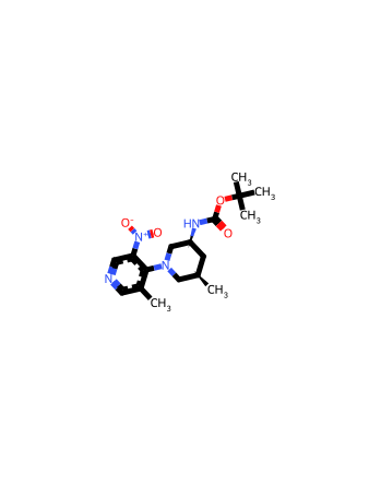 Cc1cncc([N+](=O)[O-])c1N1C[C@H](C)C[C@H](NC(=O)OC(C)(C)C)C1